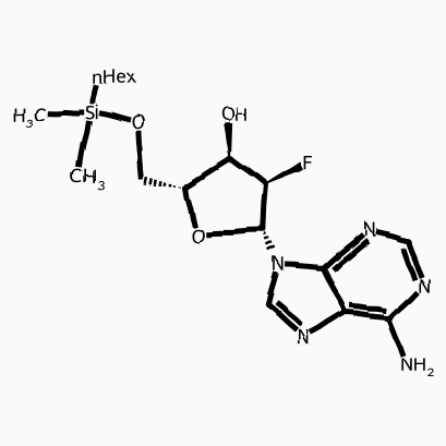 CCCCCC[Si](C)(C)OC[C@H]1O[C@@H](n2cnc3c(N)ncnc32)[C@H](F)[C@@H]1O